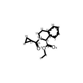 CCOC(=O)[C@@H]1c2ccccc2CCN1C(=O)C1CC1